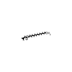 CCCCCCCCCCCCCCCOC(=O)CC1CC1